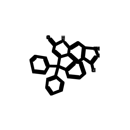 O=c1cc(C(c2ccccc2)(c2ccccc2)c2ccccc2)c2cc3c(Cl)n[nH]c3cc2[nH]1